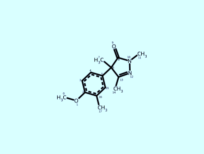 COc1ccc(C2(C)C(=O)N(C)N=C2C)cc1C